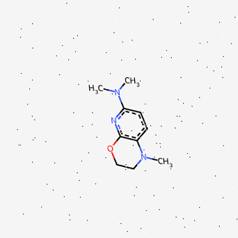 CN(C)c1[c]cc2c(n1)OCCN2C